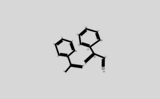 C=C(C)c1ccccc1.C=C(C=O)c1ccccc1